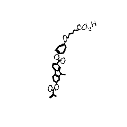 C=C(C)C(=O)Oc1ccc2c(c1)C(C)c1cc(C(=O)Oc3ccc(OCCCCCC(=O)O)cc3)ccc1-2